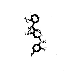 COc1ccccc1-c1n[nH]c2cc(Nc3ccc(F)cc3F)nnc12